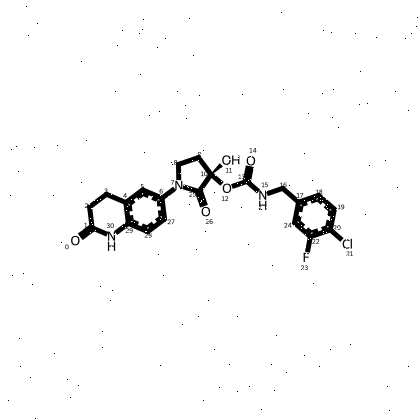 O=C1CCc2cc(N3CC[C@](O)(OC(=O)NCc4ccc(Cl)c(F)c4)C3=O)ccc2N1